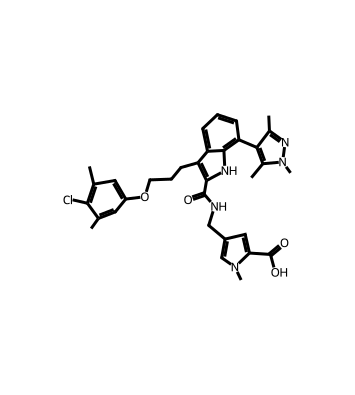 Cc1cc(OCCCc2c(C(=O)NCc3cc(C(=O)O)n(C)c3)[nH]c3c(-c4c(C)nn(C)c4C)cccc23)cc(C)c1Cl